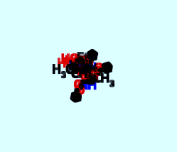 CC[C@H](O)C(=O)N[C@@H]1C(OCc2ccccc2)[C@H](NC(=O)OCc2ccccc2)C(O[C@H]2OC(CNC(=O)OCc3ccccc3)CCC2C)C(O)[C@H]1O[C@H]1OC(CO)[C@@H](O)[C@H](C)C1C